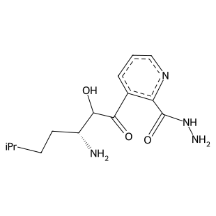 CC(C)CC[C@@H](N)C(O)C(=O)c1cccnc1C(=O)NN